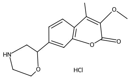 COc1c(C)c2ccc(C3CNCCO3)cc2oc1=O.Cl